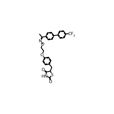 CC(=NOCCOc1ccc(CC2SC(=O)NC2=O)cc1)c1ccc(-c2ccc(C(F)(F)F)cc2)cc1